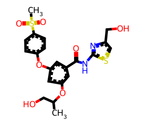 CC(CO)Oc1cc(Oc2ccc(S(C)(=O)=O)cc2)cc(C(=O)Nc2nc(CO)cs2)c1